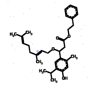 CC(C)=CCC/C(C)=C/COC(CC(=O)OCCc1ccccc1)c1cc(C(C)C)c(O)cc1C